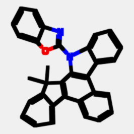 CC1(C)c2ccccc2-c2c1c1c(c3ccccc23)c2ccccc2n1-c1nc2ccccc2o1